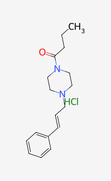 CCCC(=O)N1CCN(C/C=C/c2ccccc2)CC1.Cl